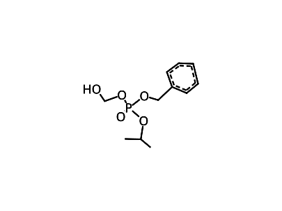 CC(C)OP(=O)(OCO)OCc1ccccc1